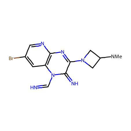 CNC1CN(c2nc3ncc(Br)cc3n(C=N)c2=N)C1